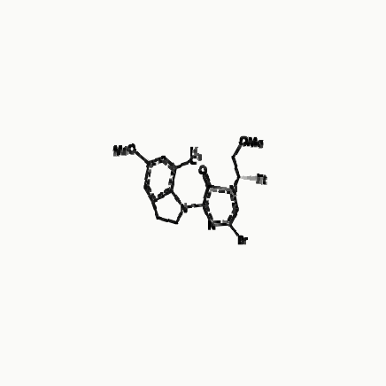 CC[C@@H](COC)n1cc(Br)nc(N2CCc3cc(OC)cc(C)c32)c1=O